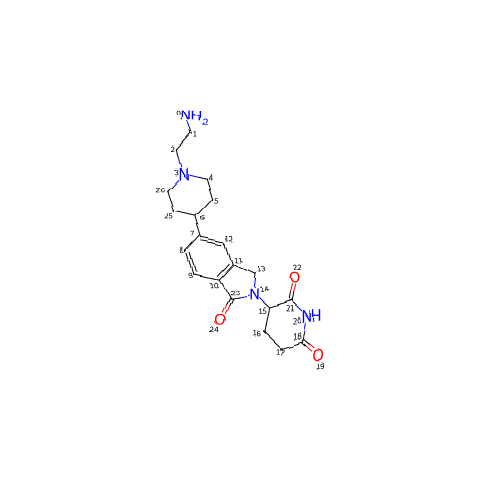 NCCN1CCC(c2ccc3c(c2)CN(C2CCC(=O)NC2=O)C3=O)CC1